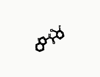 O=C(Nc1cnc2ccccc2c1)c1cccc(F)c1Cl